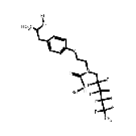 CCOC(Cc1ccc(OCCN(CC(F)(F)C(F)(F)C(F)(F)C(F)(F)C(F)(F)F)C(=O)NC(C)CC)cc1)C(=O)O